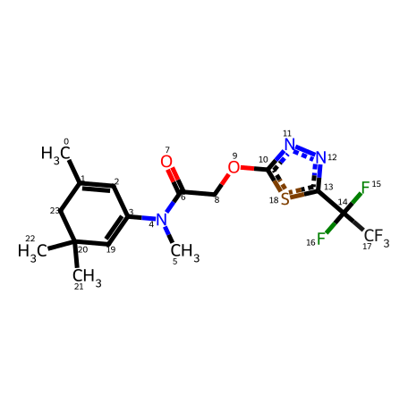 CC1=CC(N(C)C(=O)COc2nnc(C(F)(F)C(F)(F)F)s2)=CC(C)(C)C1